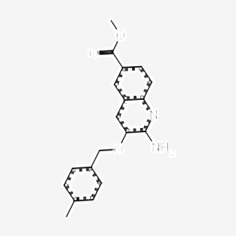 COC(=O)c1ccc2nc(N)c(OCc3ccc(C)cc3)cc2c1